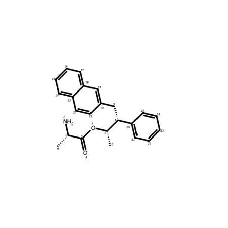 C[C@H](N)C(=O)O[C@@H](C)[C@H](Cc1ccc2ccccc2c1)c1ccccc1